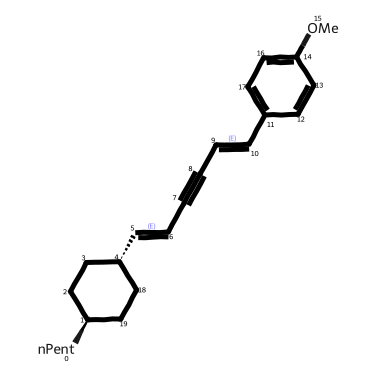 CCCCC[C@H]1CC[C@H](/C=C/C#C/C=C/c2ccc(OC)cc2)CC1